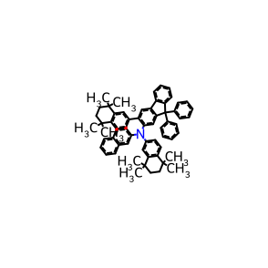 CC1(C)CCC(C)(C)c2cc(-c3cc4c(cc3N(c3ccc5c(c3)C(C)(C)CCC5(C)C)c3ccc5ccccc5c3)C(c3ccccc3)(c3ccccc3)c3ccccc3-4)ccc21